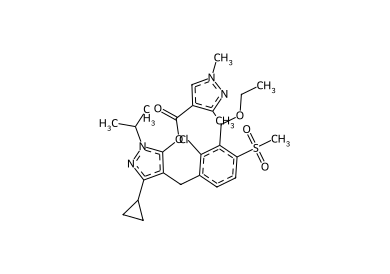 CCOCc1c(S(C)(=O)=O)ccc(Cc2c(C3CC3)nn(C(C)C)c2OC(=O)c2cn(C)nc2C)c1Cl